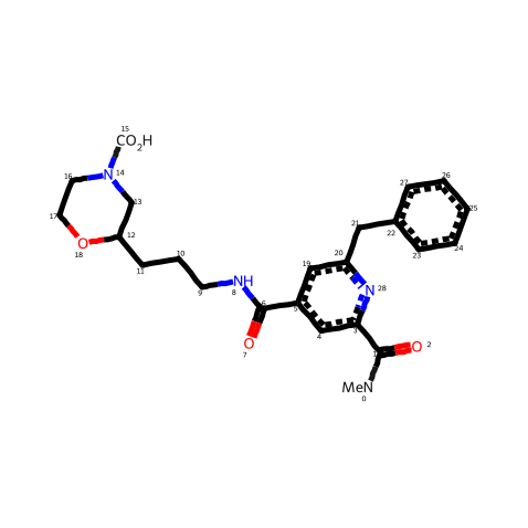 CNC(=O)c1cc(C(=O)NCCCC2CN(C(=O)O)CCO2)cc(Cc2ccccc2)n1